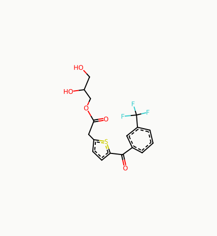 O=C(Cc1ccc(C(=O)c2cccc(C(F)(F)F)c2)s1)OCC(O)CO